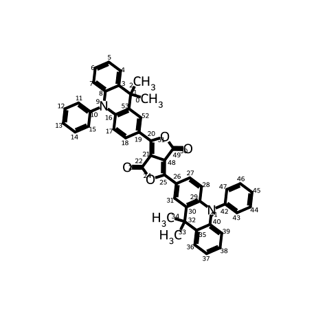 CC1(C)c2ccccc2N(c2ccccc2)c2ccc(C3=C4C(=O)OC(c5ccc6c(c5)C(C)(C)c5ccccc5N6c5ccccc5)=C4C(=O)O3)cc21